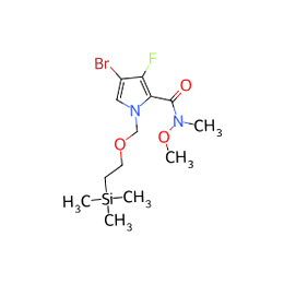 CON(C)C(=O)c1c(F)c(Br)cn1COCC[Si](C)(C)C